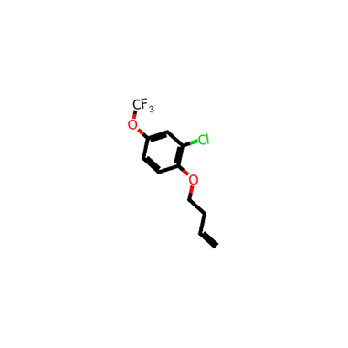 C=CCCOc1ccc(OC(F)(F)F)cc1Cl